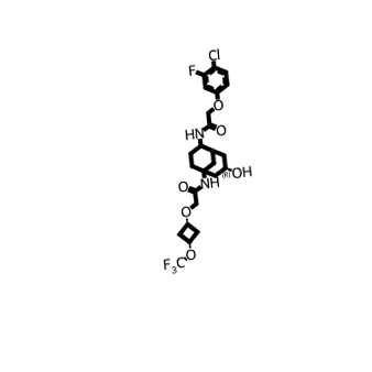 O=C(COc1ccc(Cl)c(F)c1)NC1CCC2(NC(=O)CO[C@H]3C[C@@H](OC(F)(F)F)C3)CC1C[C@@H](O)C2